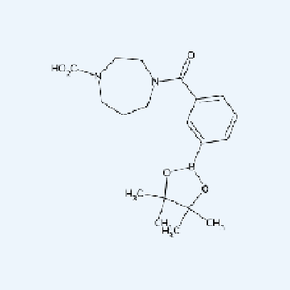 CC1(C)OB(c2cccc(C(=O)N3CCCN(C(=O)O)CC3)c2)OC1(C)C